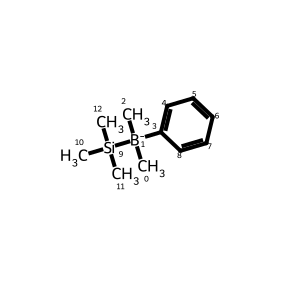 C[B-](C)(c1ccccc1)[Si](C)(C)C